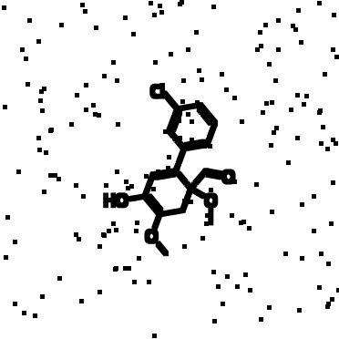 COC1=C(O)C=C(c2cccc(Cl)c2)C(C=O)(OC)C1